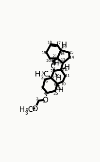 COCO[C@@H]1CC[C@@]2(C)[C@H](CC[C@H]3[C@@H]4CC[C@@H]5C=CCCC54CC[C@@H]32)C1